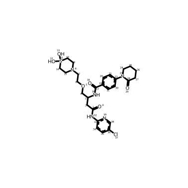 O=C(CC(COCCN1CCS(O)(O)CC1)NC(=O)c1ccc(N2CCCCC2=O)cc1)Nc1ccc(Cl)cn1